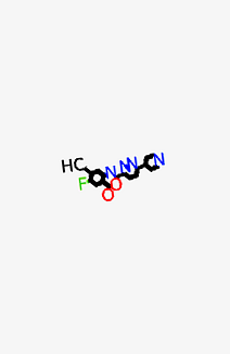 C#Cc1cc2nc(-c3ccc(-c4ccncc4)nn3)oc(=O)c2cc1F